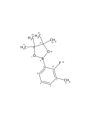 Cc1cccc(B2OC(C)(C)C(C)(C)O2)c1F